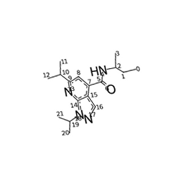 CCC(C)NC(=O)c1cc(C(C)C)nc2c1cnn2C(C)C